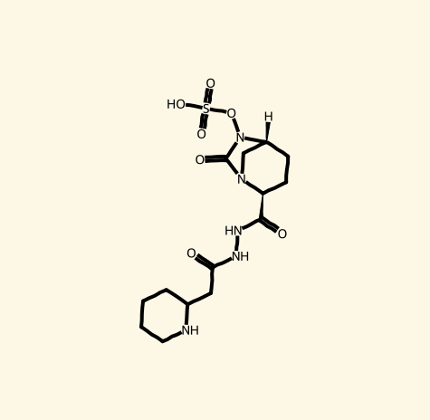 O=C(CC1CCCCN1)NNC(=O)[C@@H]1CC[C@@H]2CN1C(=O)N2OS(=O)(=O)O